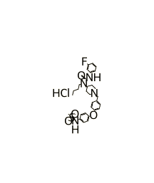 CCCCN(C(=O)Nc1cccc(F)c1)C1CCN(Cc2ccc(Oc3ccc(NS(C)(=O)=O)cc3)cc2)CC1.Cl